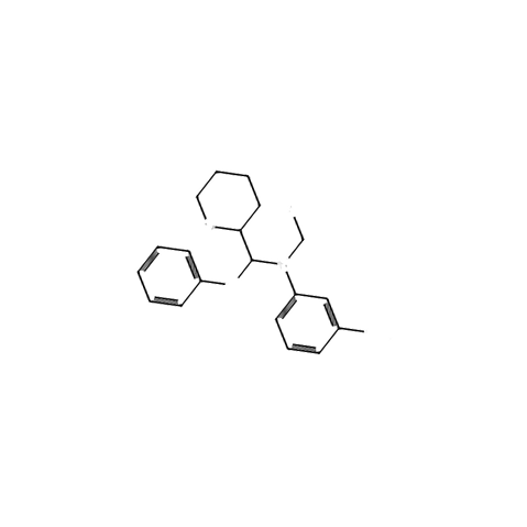 CC(=O)CN(c1cccc(C(=O)O)c1)C(Oc1ccccc1)C1CCCCN1